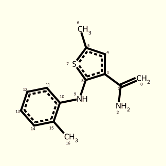 C=C(N)c1cc(C)sc1Nc1ccccc1C